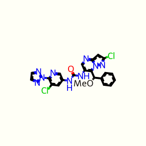 COC(c1ccccc1)c1c(NC(=O)Nc2cnc(-n3nccn3)c(Cl)c2)cnc2cc(Cl)nn12